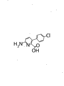 Nc1ccc(-c2ccc(Cl)cc2)c(C(=O)O)n1